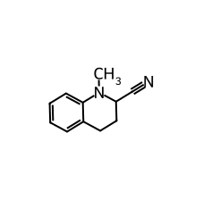 CN1c2ccccc2CCC1C#N